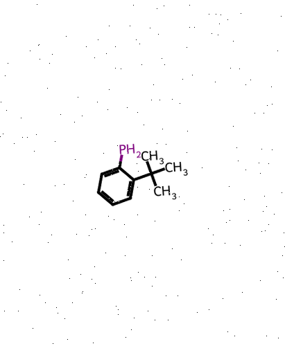 CC(C)(C)c1ccccc1P